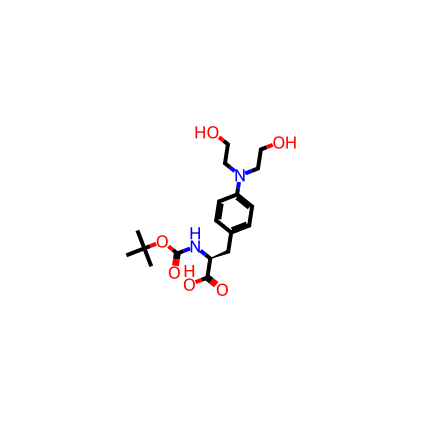 CC(C)(C)OC(=O)N[C@@H](Cc1ccc(N(CCO)CCO)cc1)C(=O)O